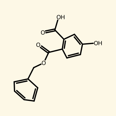 O=C(O)c1cc(O)ccc1C(=O)OCc1ccccc1